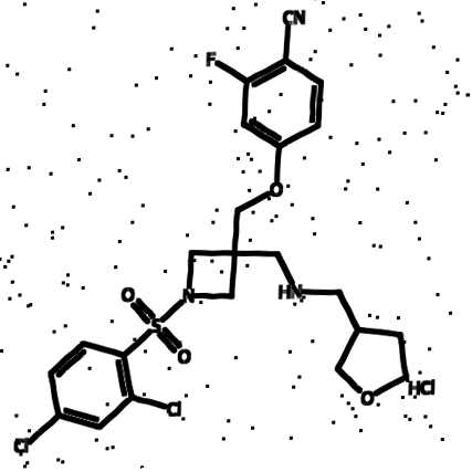 Cl.N#Cc1ccc(OCC2(CNCC3CCOC3)CN(S(=O)(=O)c3ccc(Cl)cc3Cl)C2)cc1F